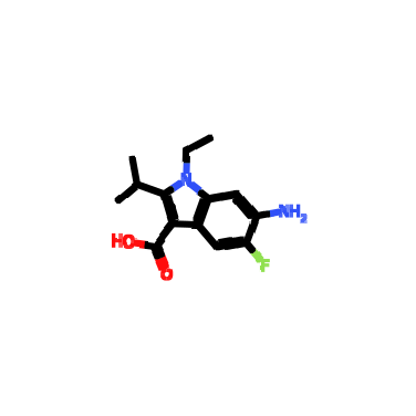 CCn1c(C(C)C)c(C(=O)O)c2cc(F)c(N)cc21